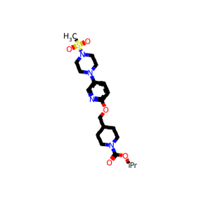 CC(C)OC(=O)N1CCC(COc2ccc(N3CCN(S(C)(=O)=O)CC3)cn2)CC1